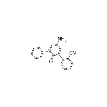 N#Cc1ccccc1-c1cc(N)cn(-c2ccccc2)c1=O